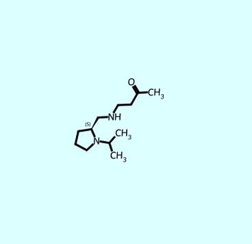 CC(=O)CCNC[C@@H]1CCCN1C(C)C